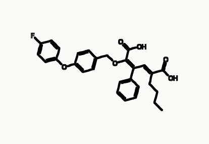 CCCCC(=CC(=C(OCc1ccc(Oc2ccc(F)cc2)cc1)C(=O)O)c1ccccc1)C(=O)O